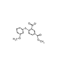 COC(=O)c1ccc(Sc2cccc(OC)c2)c([N+](=O)[O-])c1